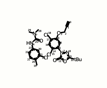 C#CCOc1cc(-n2nc(C(C)(C)C)oc2=O)c(Cl)cc1Cl.Cc1ccc(NC(=O)N(C)C)cc1Cl